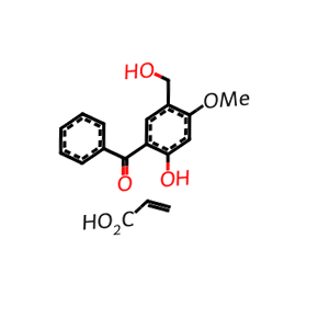 C=CC(=O)O.COc1cc(O)c(C(=O)c2ccccc2)cc1CO